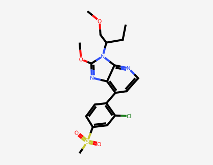 CCC(COC)n1c(OC)nc2c(-c3ccc(S(C)(=O)=O)cc3Cl)ccnc21